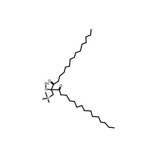 CCCCCCCCCCCCCCC(=O)C(C[N+](C)(C)C)(O[PH-])C(=O)CCCCCCCCCCCCCC